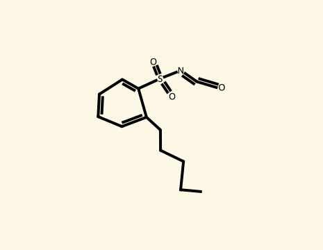 CCCCCc1ccccc1S(=O)(=O)N=C=O